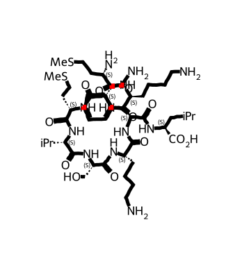 CSCC[C@H](NC(=O)[C@H](CC(N)=O)NC(=O)[C@H](CCCCN)NC(=O)[C@@H](N)CCSC)C(=O)N[C@H](C(=O)N[C@@H](CO)C(=O)N[C@@H](CCCCN)C(=O)N[C@@H](Cc1ccccc1)C(=O)N[C@@H](CC(C)C)C(=O)O)C(C)C